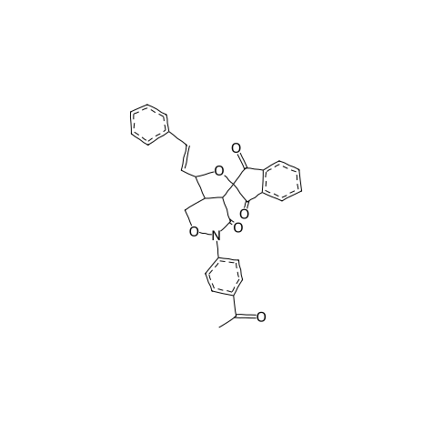 CC(=O)c1ccc(N2OCC3C(/C=C/c4ccccc4)OC4(C(=O)c5ccccc5C4=O)C3C2=O)cc1